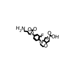 NCC1CN(c2ccc(N3CCOC4CN(C(=O)O)CC43)c(F)c2)C(=O)O1